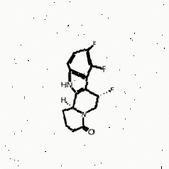 O=C1CCC[C@H]2c3[nH]c4ccc(F)c(F)c4c3[C@H](F)CN12